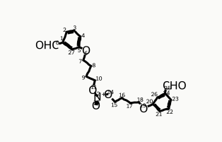 O=Cc1cccc(OCCCCO[N+](=O)OCCCCOc2cccc(C=O)c2)c1